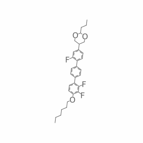 CCCCCCOc1ccc(-c2ccc(-c3ccc(C4COC(CCC)OC4)cc3F)cc2)c(F)c1F